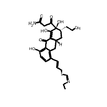 CC/N=C\SC/C=C/c1ccc(O)c2c1C[C@H]1C[C@@H](CCO)[C@@](O)(C(=O)CC(N)=O)C(O)=C1C2=O